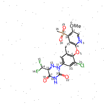 COc1cnc(Oc2c(C)cc(-n3nc(C(F)F)c(=O)[nH]c3=O)cc2Cl)cc1S(C)(=O)=O